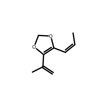 C=C(C)C1=C(/C=C\C)OCO1